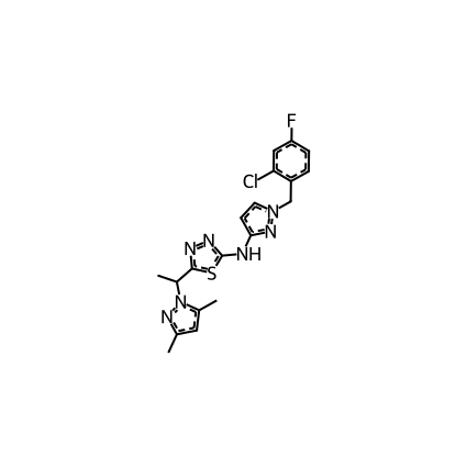 Cc1cc(C)n(C(C)c2nnc(Nc3ccn(Cc4ccc(F)cc4Cl)n3)s2)n1